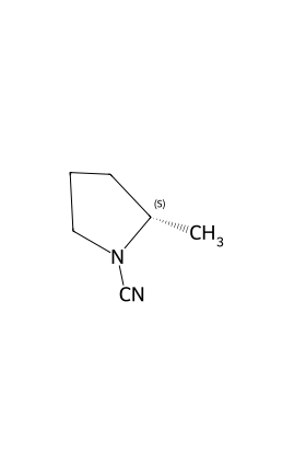 C[C@H]1CCCN1C#N